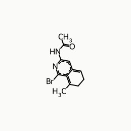 CC(=O)Nc1cc2c(c(Br)n1)=C(C)CCC=2